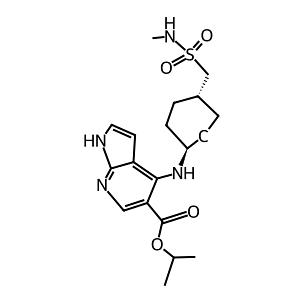 CNS(=O)(=O)C[C@H]1CC[C@H](Nc2c(C(=O)OC(C)C)cnc3[nH]ccc23)CC1